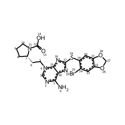 Nc1ncn(CC[C@@H]2CCCN2C(=O)O)c2nc(Sc3cc4c(cc3Br)OCO4)nc1-2